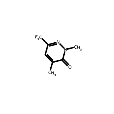 Cc1cc(C(F)(F)F)nn(C)c1=O